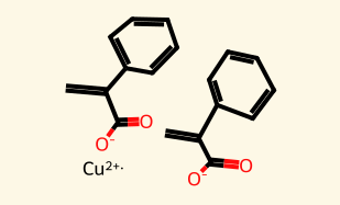 C=C(C(=O)[O-])c1ccccc1.C=C(C(=O)[O-])c1ccccc1.[Cu+2]